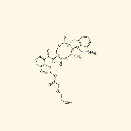 COCCOCC(=O)OCOc1c(OC)ccnc1C(=O)N[C@H]1COC(=O)[C@H](Cc2ccccc2)[C@@H](OCSC)C(C)OC1=O